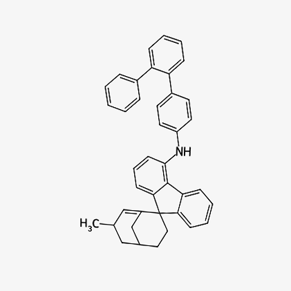 CC1C=C2CC(CCC23c2ccccc2-c2c(Nc4ccc(-c5ccccc5-c5ccccc5)cc4)cccc23)C1